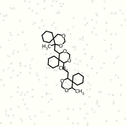 CC1OCOC(CCC2OCOC(CC3(C)OCOCC34CCCCC4)C23CCCCC3C)C12CCCCC2